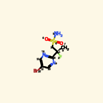 C[C@@](F)(CS(N)(=O)=O)c1ncc(Br)cn1